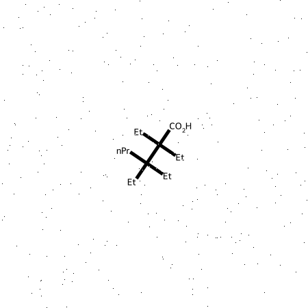 CCCC(CC)(CC)C(CC)(CC)C(=O)O